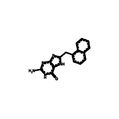 Nc1nc2nc(Cc3cccc4ccccc34)[nH]c2c(=O)[nH]1